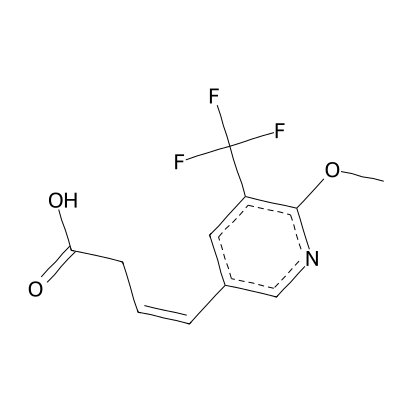 COc1ncc(/C=C\CC(=O)O)cc1C(F)(F)F